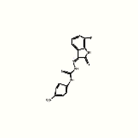 O=C1Nc2c(F)cccc2/C1=N/NC(=S)Nc1ccc([N+](=O)[O-])cc1